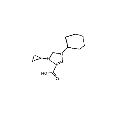 O=C(O)C1=CN(C2CCCCC2)CN1C1CC1